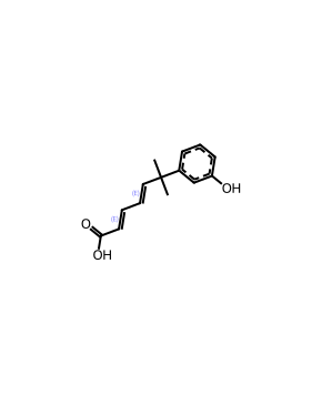 CC(C)(/C=C/C=C/C(=O)O)c1cccc(O)c1